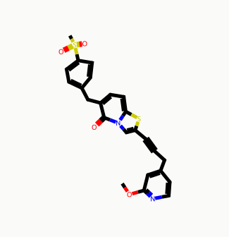 COc1cc(CC#Cc2cn3c(=O)c(Cc4ccc(S(C)(=O)=O)cc4)ccc3s2)ccn1